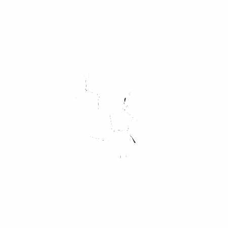 CCCN1[C@H](CO)[C@@H](O)[C@H](O)[C@H]1CNC(C)=O